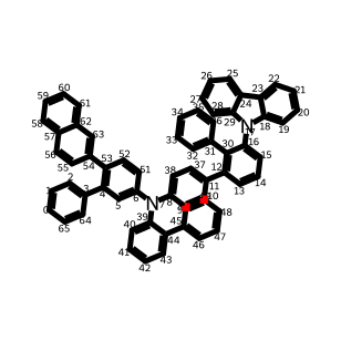 c1ccc(-c2cc(N(c3ccc(-c4cccc(-n5c6ccccc6c6ccccc65)c4-c4ccccc4)cc3)c3ccccc3-c3ccccc3)ccc2-c2ccc3ccccc3c2)cc1